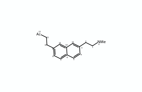 CNCCc1ccc2ccc(CCC(C)=O)cc2c1